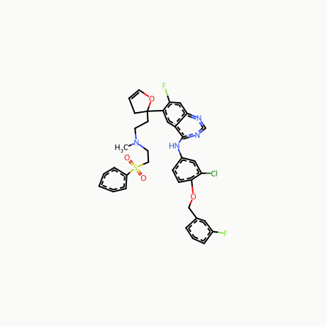 CN(CCC1(c2cc3c(Nc4ccc(OCc5cccc(F)c5)c(Cl)c4)ncnc3cc2F)CC=CO1)CCS(=O)(=O)c1ccccc1